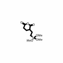 CO[Si](CCC1CCC(=O)OC1=O)(OC)OC